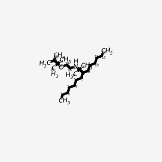 CCCCCCCC(CCCCCC)C(C)(C)NCCOC(C)(C)C(C)C